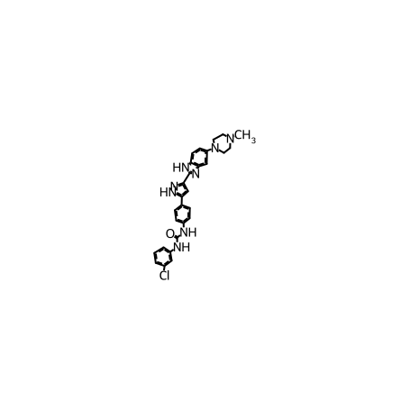 CN1CCN(c2ccc3[nH]c(-c4cc(-c5ccc(NC(=O)Nc6cccc(Cl)c6)cc5)[nH]n4)nc3c2)CC1